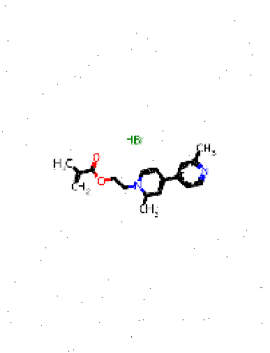 Br.C=C(C)C(=O)OCCN1C=CC(c2ccnc(C)c2)=CC1C